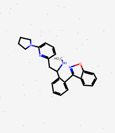 O=C(O)NC(Cc1cccc(N2CCCC2)n1)c1ccccc1-c1noc2ccccc12